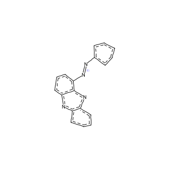 c1ccc(/N=N/c2cccc3nc4ccccc4nc23)cc1